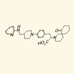 O=C(O)C(Cc1ccc(N2CCC(CNc3ccccn3)CC2)cc1)N1CCCC2(CCCCC2=O)C1